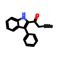 CSCC(=O)c1[nH]c2ccccc2c1-c1ccccc1